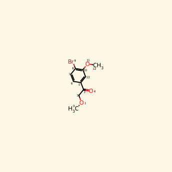 COCC(=O)c1ccc(Br)c(OC)c1